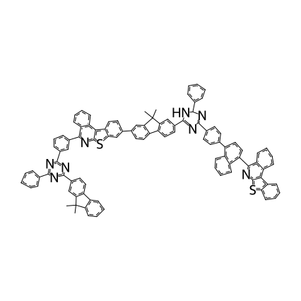 CC1(C)c2cc(C3=NC(c4ccc(-c5ccc(-c6nc7sc8ccccc8c7c7ccccc67)c6ccccc56)cc4)=NC(c4ccccc4)N3)ccc2-c2ccc(-c3ccc4c(c3)sc3nc(-c5cccc(-c6nc(-c7ccccc7)nc(-c7ccc8c(c7)C(C)(C)c7ccccc7-8)n6)c5)c5ccccc5c34)cc21